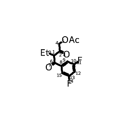 CCC(C(=O)COC(C)=O)C(=O)c1cc(F)cc(F)c1